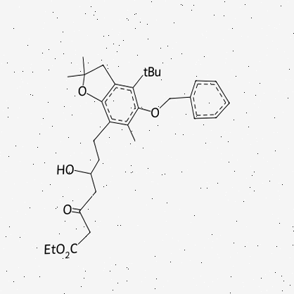 CCOC(=O)CC(=O)CC(O)CCc1c(C)c(OCc2ccccc2)c(C(C)(C)C)c2c1OC(C)(C)C2